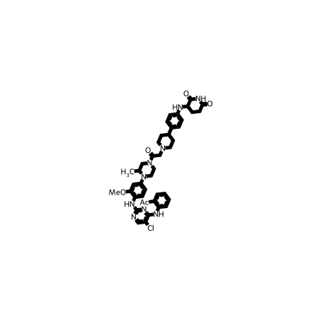 COc1cc(N2CCN(C(=O)CN3CCC(c4ccc(NC5CCC(=O)NC5=O)cc4)CC3)CC2C)ccc1Nc1ncc(Cl)c(Nc2ccccc2C(C)=O)n1